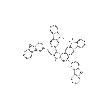 CC1(C)c2ccccc2-c2cc3c(-c4ccc5oc6ccccc6c5c4)cc4sc5cc(-c6ccc7oc8ccccc8c7c6)c6cc7c(cc6c5c4c3cc21)C(C)(C)c1ccccc1-7